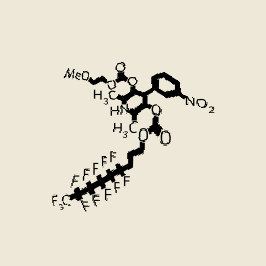 COCCOC(=O)OC1=C(C)NC(C)=C(OC(=O)OCCCC(F)(F)C(F)(F)C(F)(F)C(F)(F)C(F)(F)C(F)(F)F)C1c1cccc([N+](=O)[O-])c1